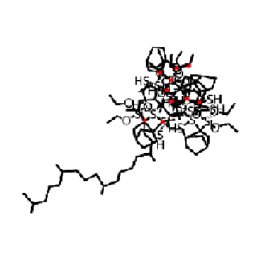 CCO[Si](OCC)(OCC)C1(S(S)(SS)C(=C(C)C(C(CC(C)CCCC(C)CCCCC(C)CCCC(C)CCCC(C)C)S(S)(SS)C2([Si](OCC)(OCC)OCC)CC3CCC2(CC)C3)(S(S)(SS)C2([Si](OCC)(OCC)OCC)CC3CCC2(CC)C3)S(S)(SS)C2([Si](OCC)(OCC)OCC)CC3CCC2(CC)C3)S(S)(SS)C2([Si](OCC)(OCC)OCC)CC3CCC2(CC)C3)CC2CCC1(CC)C2